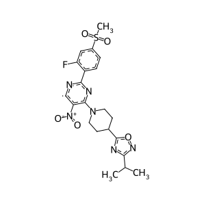 CC(C)c1noc(C2CCN(c3nc(-c4ccc(S(C)(=O)=O)cc4F)n[c]c3[N+](=O)[O-])CC2)n1